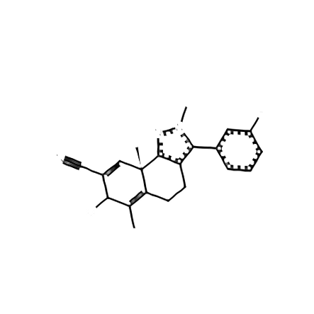 CC1=C2CCc3c(nn(C)c3-c3cccc(F)c3)[C@@]2(C)C=C(C#N)C1O